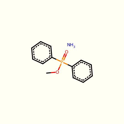 COP(=O)(c1ccccc1)c1ccccc1.N